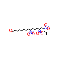 CCCC(CC(CCCC(CCCCCCCC=O)[N+](=O)[O-])[N+](=O)[O-])[N+](=O)[O-]